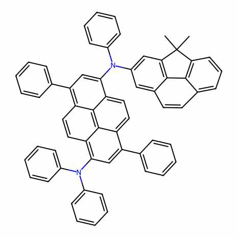 CC1(C)c2cccc3ccc4cc(N(c5ccccc5)c5cc(-c6ccccc6)c6ccc7c(N(c8ccccc8)c8ccccc8)cc(-c8ccccc8)c8ccc5c6c87)cc1c4c23